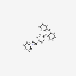 Clc1ccccc1C(c1ccccc1)N1CCC(/N=C/c2ccccn2)CC1